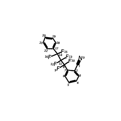 N#Cc1ccccc1C(F)(F)C(F)(F)C(F)(F)c1ccccc1